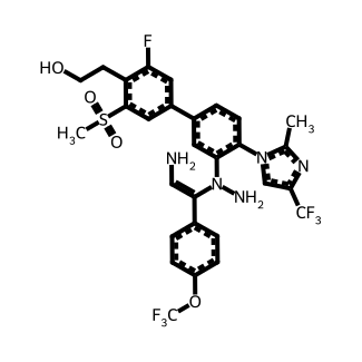 Cc1nc(C(F)(F)F)cn1-c1ccc(-c2cc(F)c(CCO)c(S(C)(=O)=O)c2)cc1N(N)/C(=C\N)c1ccc(OC(F)(F)F)cc1